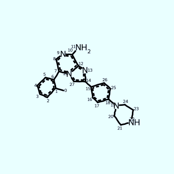 Cc1ccccc1-c1cnc(N)c2nc(-c3ccc(N4CCNCC4)cc3)cn12